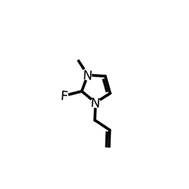 C=CCN1C=CN(C)C1F